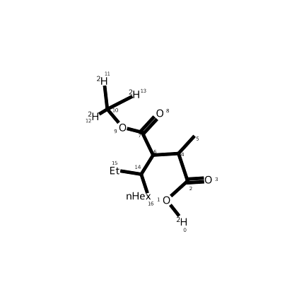 [2H]OC(=O)C(C)C(C(=O)OC([2H])([2H])[2H])C(CC)CCCCCC